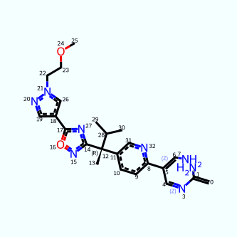 C=C(N)/N=C\C(=C/N)c1ccc([C@](C)(c2noc(-c3cnn(CCOC)c3)n2)C(C)C)cn1